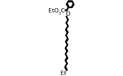 CCC=CCC=CCC=CCC=CCC=CCCCCOC(C(=O)OCC)c1ccccc1